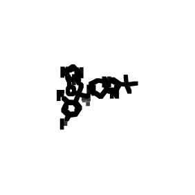 COC(Cn1cncn1)(c1ccc(F)cc1F)[C@@H](C)N1CCn2cc(C(C)(C)C)nc2C1